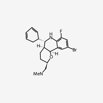 CNC[C@H]1CC[C@@H]2[C@H](O1)c1cc(Br)cc(F)c1N[C@H]2C1C=CC=CC1